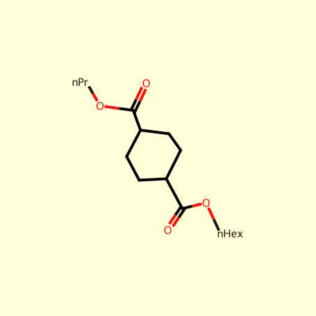 CCCCCCOC(=O)C1CCC(C(=O)OCCC)CC1